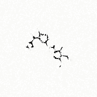 CNc1cnc(C(=O)Nc2ccc(N)c(C(=N)c3cnco3)c2)c(C)c1C=N